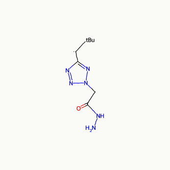 CC(C)(C)[CH]c1nnn(CC(=O)NN)n1